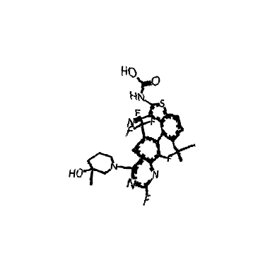 CC(C)(C)c1ccc2sc(NC(=O)O)c(C#N)c2c1-c1c(C(F)(F)F)cc2c(N3CCC[C@@](C)(O)C3)nc(F)nc2c1F